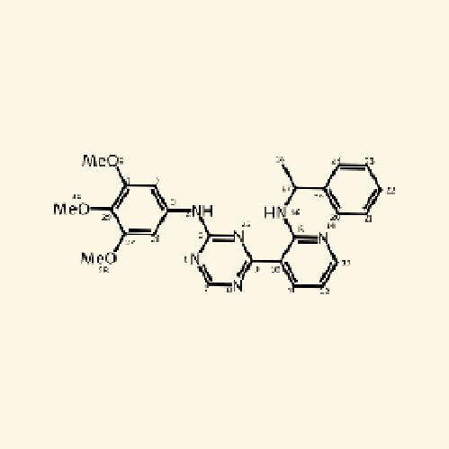 COc1cc(Nc2ncnc(-c3cccnc3NC(C)c3ccccc3)n2)cc(OC)c1OC